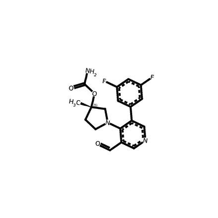 C[C@]1(OC(N)=O)CCN(c2c(C=O)cncc2-c2cc(F)cc(F)c2)C1